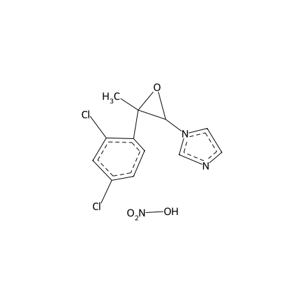 CC1(c2ccc(Cl)cc2Cl)OC1n1ccnc1.O=[N+]([O-])O